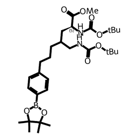 COC(=O)[C@H](CC(CCCc1ccc(B2OC(C)(C)C(C)(C)O2)cc1)CNC(=O)OC(C)(C)C)NC(=O)OC(C)(C)C